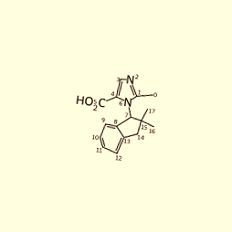 Cc1ncc(C(=O)O)n1C1c2ccccc2CC1(C)C